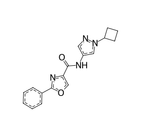 O=C(Nc1cnn(C2CCC2)c1)c1coc(-c2ccccc2)n1